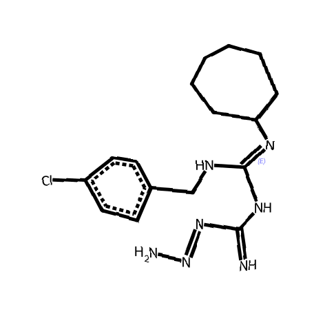 N=C(N=NN)N/C(=N/C1CCCCCC1)NCc1ccc(Cl)cc1